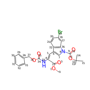 COC(=O)/C(=C\c1cn(C(=O)OC(C)(C)C)c2cc(Br)ccc12)NC(=O)OCc1ccccc1